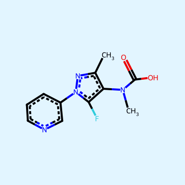 Cc1nn(-c2cccnc2)c(F)c1N(C)C(=O)O